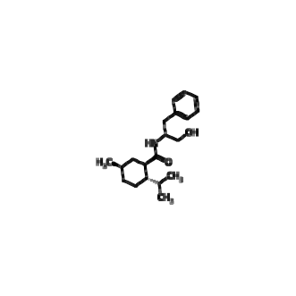 CC(C)[C@@H]1CC[C@@H](C)C[C@H]1C(=O)NC(CO)Cc1ccccc1